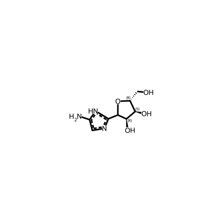 Nc1cnc(C2O[C@H](CO)[C@@H](O)[C@H]2O)[nH]1